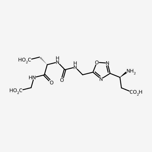 N[C@@H](CC(=O)O)c1noc(CNC(=O)N[C@@H](CC(=O)O)C(=O)NCC(=O)O)n1